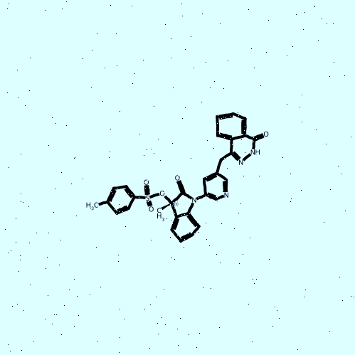 Cc1ccc(S(=O)(=O)O[C@]2(C)C(=O)N(c3cncc(Cc4n[nH]c(=O)c5ccccc45)c3)c3ccccc32)cc1